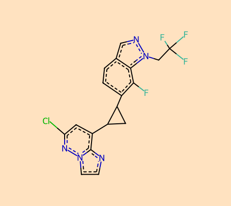 Fc1c(C2CC2c2cc(Cl)nn3ccnc23)ccc2cnn(CC(F)(F)F)c12